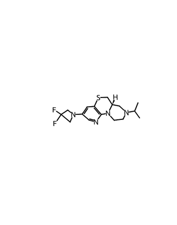 CC(C)N1CCN2c3ncc(N4CC(F)(F)C4)cc3SC[C@@H]2C1